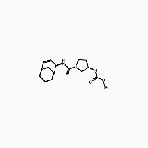 CC(C)OC(=O)N[C@@H]1CCN(C(=O)NC2C=CC3CCCC2C3)C1